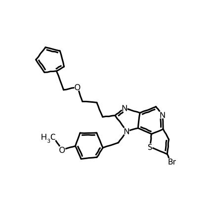 COc1ccc(Cn2c(CCCOCc3ccccc3)nc3cnc4cc(Br)sc4c32)cc1